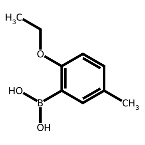 CCOc1ccc(C)cc1B(O)O